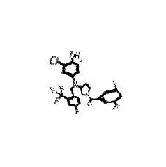 Nc1ccc(N(Cc2ccc(F)cc2C(F)(F)F)[C@H]2CCN(C(=O)c3cc(F)cc(F)c3)C2)cc1Cl